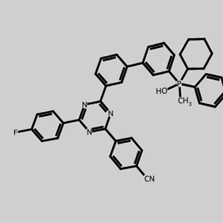 CP(O)(c1ccccc1)(c1cccc(-c2cccc(-c3nc(-c4ccc(F)cc4)nc(-c4ccc(C#N)cc4)n3)c2)c1)C1CCCCC1